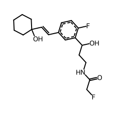 O=C(CF)NCCC(O)c1cc(C=CC2(O)CCCCC2)ccc1F